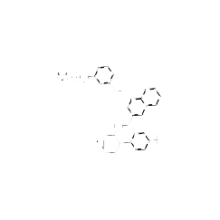 COc1cccc(COc2cc(COC3CNCCC3c3ccc(F)cc3)cc3ccccc23)c1